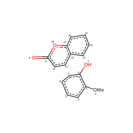 COc1ccccc1O.O=c1ccc2ccccc2o1